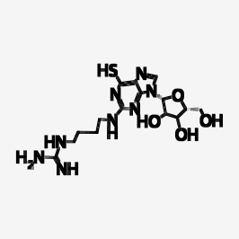 N=C(N)NCCCCNc1nc(S)c2ncn([C@@H]3O[C@H](CO)C(O)C3O)c2n1